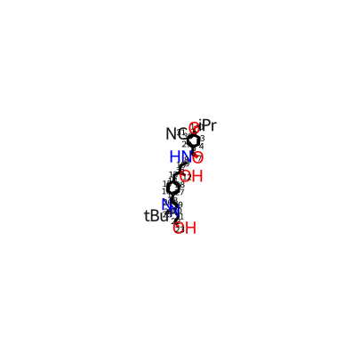 CC(C)Oc1ccc(C(=O)NCCC(O)Cc2ccc(-c3cn(CCO)c(C(C)(C)C)n3)cc2)cc1C#N